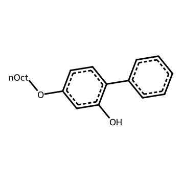 CCCCCCCCOc1ccc(-c2ccccc2)c(O)c1